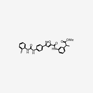 COC(=O)C(C)c1cccc(NC(=O)c2cc(-c3ccc(NC(=O)Nc4ccccc4F)cc3)no2)c1